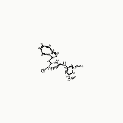 CCCC(Cl)C(Cc1cnc2ccccn12)NC(=O)Nc1nc(OC)cc(OC)n1